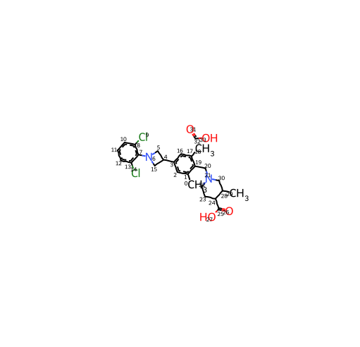 Cc1cc(C2CN(c3c(Cl)cccc3Cl)C2)cc(C)c1CN1CCC(C(=O)O)C(C)C1.O=CO